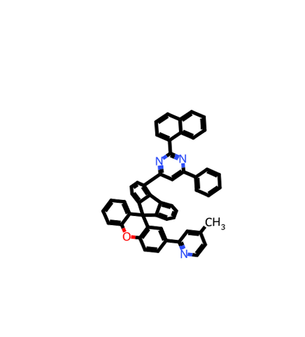 Cc1ccnc(-c2ccc3c(c2)C2(c4ccccc4O3)c3ccccc3-c3c(-c4cc(-c5ccccc5)nc(-c5cccc6ccccc56)n4)cccc32)c1